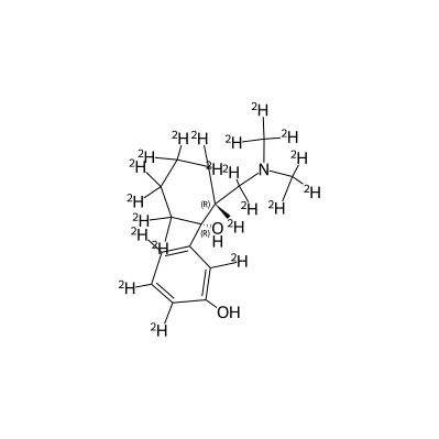 [2H]c1c([2H])c(O)c([2H])c([C@@]2(O)C([2H])([2H])C([2H])([2H])C([2H])([2H])C([2H])([2H])[C@]2([2H])C([2H])([2H])N(C([2H])([2H])[2H])C([2H])([2H])[2H])c1[2H]